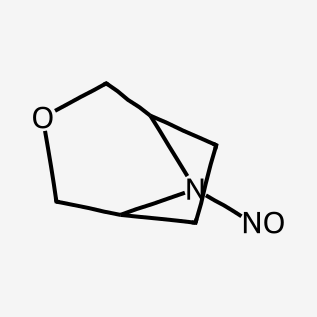 O=NN1C2CCC1COC2